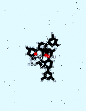 CCCCC1=Cc2c(-c3cc(C)cc(C)c3)ccc(-c3cc(C)cc(C)c3)c2[CH]1[Zr]([CH]1C(CCCC)=Cc2c(-c3cc(C)cc(C)c3)ccc(-c3cc(C)cc(C)c3)c21)[SiH](C)C